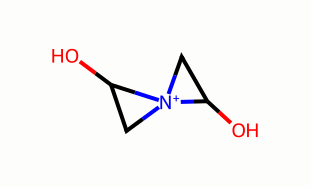 OC1C[N+]12CC2O